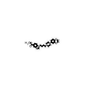 COC(=O)c1ccc2c(c1)ncn2CCCCN1CCN(c2ccc3c(c2)OCCO3)CC1